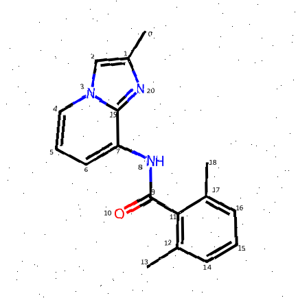 Cc1cn2cccc(NC(=O)c3c(C)cccc3C)c2n1